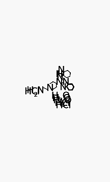 Cl.Cl.Cl.NCCN1CCC(Nc2nc3ccccc3n2C2CCCc3nccnc32)CC1.O.O.O